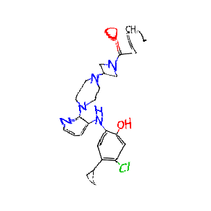 C=CC(=O)N1CC(N2CCN(c3ncccc3Nc3cc(C4CC4)c(Cl)cc3O)CC2)C1